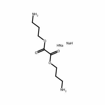 NCCCOC(=O)C(=O)OCCCN.[NaH].[NaH]